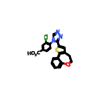 O=C(O)c1ccc(-n2cnnc2-c2cc3c(s2)-c2ccccc2OCC3)c(Cl)c1